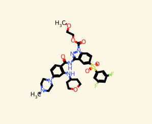 COCCOC(=O)n1nc(NC(=O)c2ccc(N3CCN(C)CC3)cc2NC2CCOCC2)c2cc(S(=O)(=O)c3cc(F)cc(F)c3)ccc21